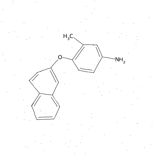 Cc1cc(N)ccc1Oc1ccc2ccccc2c1